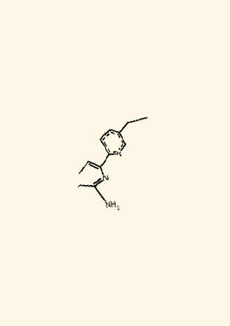 C/C=C(\N=C(/C)N)c1ccc(CC)cn1